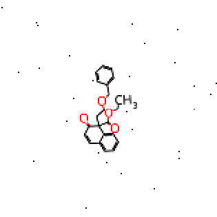 CCOC(=O)C1(CCOCc2ccccc2)C(=O)C=Cc2ccccc21